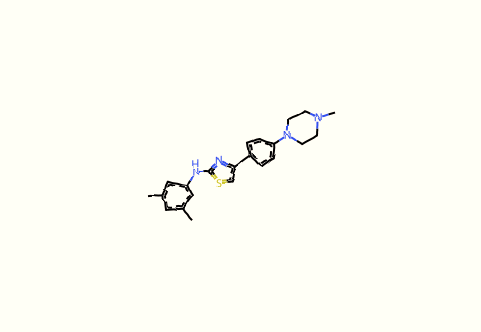 Cc1cc(C)cc(Nc2nc(-c3ccc(N4CCN(C)CC4)cc3)cs2)c1